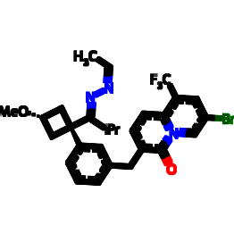 C/C=N\N=C(/C(C)C)[C@]1(c2cccc(Cc3ccc4c(C(F)(F)F)cc(Br)cn4c3=O)c2)C[C@H](OC)C1